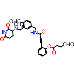 CN(Cc1cc(CNC(=O)C#Cc2ccccc2OC(=O)CCC=O)ccc1C=O)C1CCC(=O)NC1=O